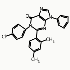 Cc1ccc(-c2nc3c(ncn3-c3ccccc3)c(=O)n2-c2ccc(Cl)cc2)c(C)c1